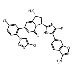 C[C@@H]1C[C@@H](c2nc(F)c(-c3ccc4c(N)noc4c3)[nH]2)n2c1cc(-c1cc(Cl)ccc1-n1cc(Cl)nn1)cc2=O